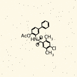 CC(=O)Oc1ccc(-c2ccccc2)cc1NS(=O)(=O)c1cc(C)c(Cl)cc1C